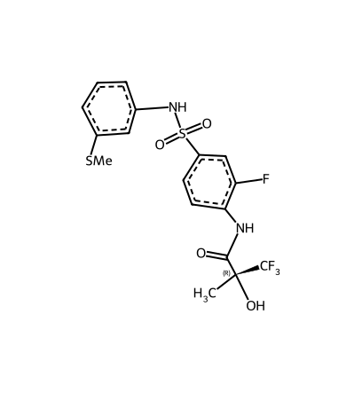 CSc1cccc(NS(=O)(=O)c2ccc(NC(=O)[C@@](C)(O)C(F)(F)F)c(F)c2)c1